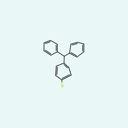 [S]c1ccc(C(c2ccccc2)c2ccccc2)cc1